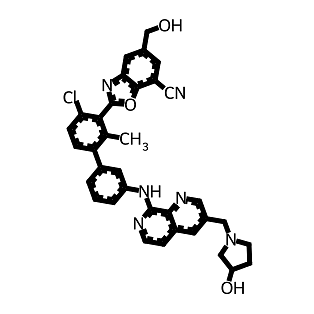 Cc1c(-c2cccc(Nc3nccc4cc(CN5CCC(O)C5)cnc34)c2)ccc(Cl)c1-c1nc2cc(CO)cc(C#N)c2o1